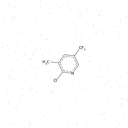 Cc1cc(C(F)(F)F)cnc1Cl